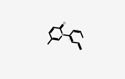 C=C/C=C(\C=C/C)n1cc(C)ccc1=O